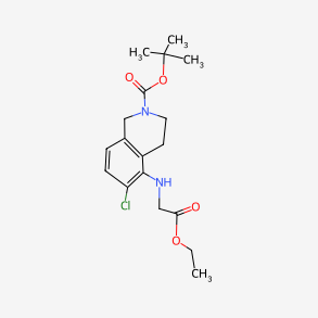 CCOC(=O)CNc1c(Cl)ccc2c1CCN(C(=O)OC(C)(C)C)C2